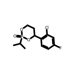 CC(C)P1(=O)OCCC(c2ccc(F)cc2Cl)O1